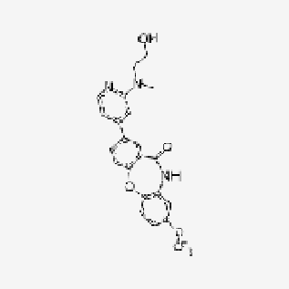 CN(CCO)c1cc(-c2ccc3c(c2)C(=O)Nc2cc(OC(F)(F)F)ccc2O3)ccn1